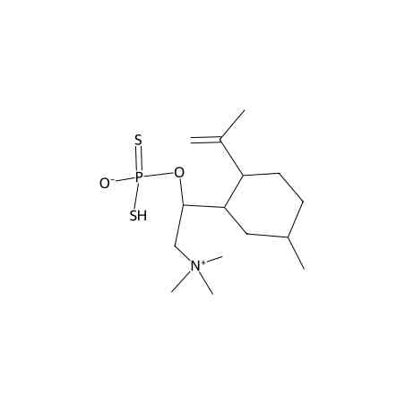 C=C(C)C1CCC(C)CC1C(C[N+](C)(C)C)OP([O-])(=S)S